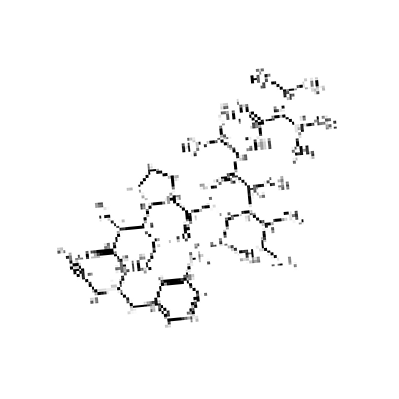 CC[C@H](C)[C@@H]([C@@H](CC(=O)N1CCC[C@H]1[C@H](OC)[C@@H](C)C(=O)N[C@H](CC#N)Cc1cccc(N)c1)OC)N(C)C(=O)[C@@H](NC(=O)[C@H](C(C)C)N(C)C)C(C)C